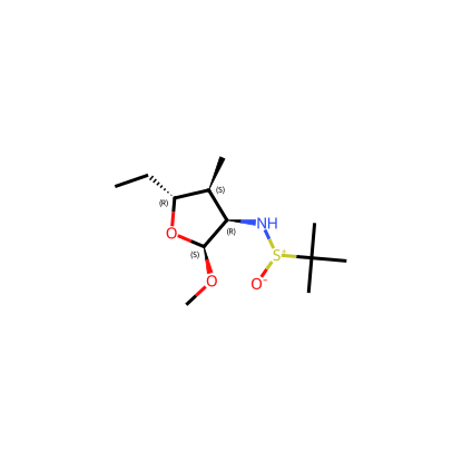 CC[C@H]1O[C@H](OC)[C@H](N[S+]([O-])C(C)(C)C)[C@@H]1C